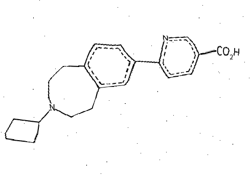 O=C(O)c1ccc(-c2ccc3c(c2)CCN(C2CCC2)CC3)nc1